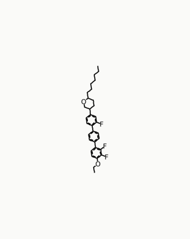 CCCCCCCC1CCC(c2ccc(-c3ccc(-c4ccc(OCC)c(F)c4F)cc3)c(F)c2)CO1